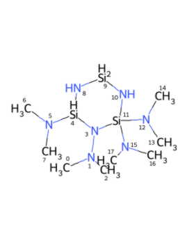 CN(C)N1[SiH](N(C)C)N[SiH2]N[Si]1(N(C)C)N(C)C